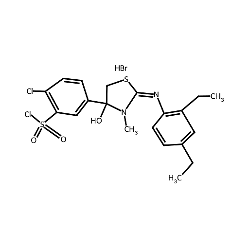 Br.CCc1ccc(/N=C2/SCC(O)(c3ccc(Cl)c(S(=O)(=O)Cl)c3)N2C)c(CC)c1